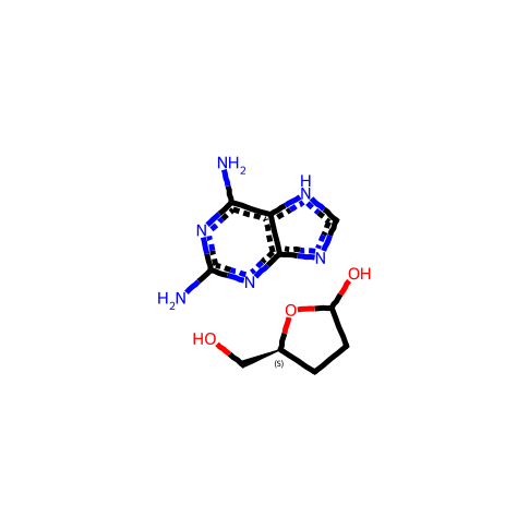 Nc1nc(N)c2[nH]cnc2n1.OC[C@@H]1CCC(O)O1